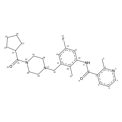 Cc1ncccc1C(=O)Nc1cc(F)cc(CN2CCN(C(=O)C3CCCC3)CC2)c1C